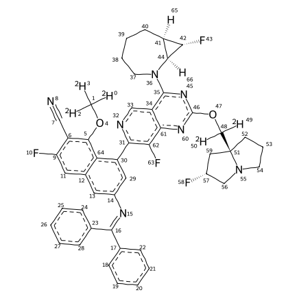 [2H]C([2H])([2H])Oc1c(C#N)c(F)cc2cc(N=C(c3ccccc3)c3ccccc3)cc(-c3ncc4c(N5CCCC[C@H]6[C@H](F)[C@H]65)nc(OC([2H])([2H])[C@@]56CCCN5C[C@H](F)C6)nc4c3F)c12